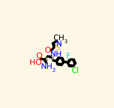 Cc1cc(C(=O)N[C@H](Cc2ccc(-c3cc(Cl)ccc3F)cc2)C[C@@H](CN)C(=O)O)sn1